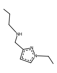 CCCNCc1ccn(CC)n1